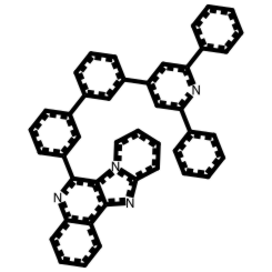 c1ccc(-c2cc(-c3cccc(-c4cccc(-c5nc6ccccc6c6nc7ccccn7c56)c4)c3)cc(-c3ccccc3)n2)cc1